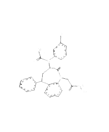 CC(C)(C)NC(=O)CN1C(=O)C(N(C(N)=O)c2cccc(C(F)(F)F)c2)CC(c2ccccc2)c2ccccc21